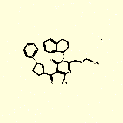 CCCCc1nc(O)c(C(=O)N2CC[C@H](c3ccccc3)C2)c(=O)n1[C@H]1CCCc2ccccc21